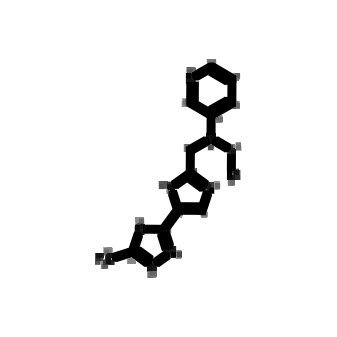 CCSN(Cc1ncc(-c2nnc(C(F)(F)F)o2)s1)c1cccnc1